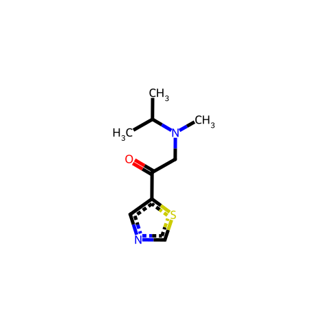 CC(C)N(C)CC(=O)c1cncs1